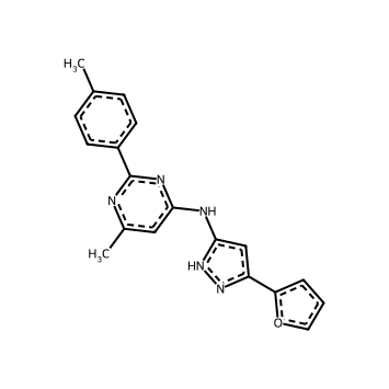 Cc1ccc(-c2nc(C)cc(Nc3cc(-c4ccco4)n[nH]3)n2)cc1